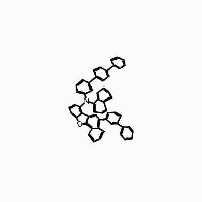 c1ccc(-c2ccc(-c3cccc(N(c4cccc5ccccc45)c4cccc5oc6c7ccccc7c(-c7cccc(-c8ccccc8)c7)cc6c45)c3)cc2)cc1